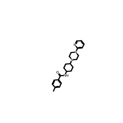 Cc1ccc(C(=O)NC2CCC(N3CCN(c4ccccn4)CC3)CC2)cc1